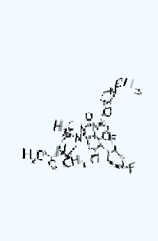 C=CC(=O)N1C[C@H](C)N(c2nc(=O)n3c4c(c(-c5ccc(F)cc5F)c(Cl)cc24)OC[C@H]3CO[C@@H]2CCN(C)C2)C[C@H]1C